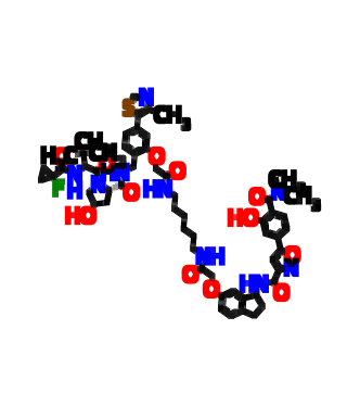 Cc1ncsc1-c1ccc(CNC(=O)[C@@H]2C[C@@H](O)CN2C(=O)C(NC(=O)C2(F)CC2)C(C)(C)C)c(OCC(=O)NCCCCCCNC(=O)COc2ccc3c(c2)[C@H](NC(=O)c2cc(-c4ccc(C(=O)N(C)C)c(O)c4)on2)CC3)c1